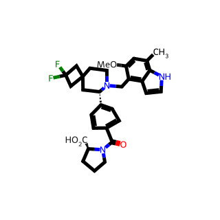 COc1cc(C)c2[nH]ccc2c1CN1CCC2(C[C@H]1c1ccc(C(=O)N3CCC[C@H]3C(=O)O)cc1)CC(F)(F)C2